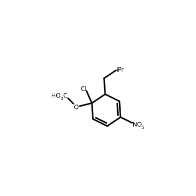 CC(C)CC1C=C([N+](=O)[O-])C=CC1(Cl)OC(=O)O